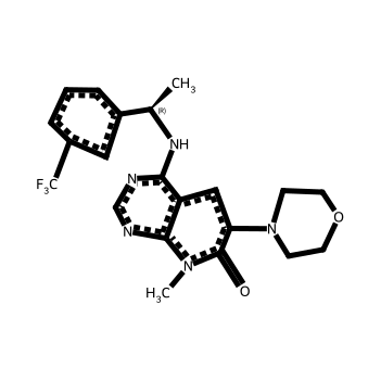 C[C@@H](Nc1ncnc2c1cc(N1CCOCC1)c(=O)n2C)c1cccc(C(F)(F)F)c1